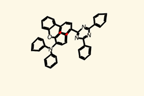 c1ccc(-c2nc(-c3ccccc3)nc(-c3ccc(-c4ccccc4Oc4ccccc4N(c4ccccc4)c4ccccc4)cc3)n2)cc1